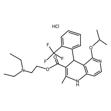 CCN(CC)CCOC(=O)C1=C(C)Nc2ccnc(OC(C)C)c2C1c1ccccc1C(F)(F)F.Cl